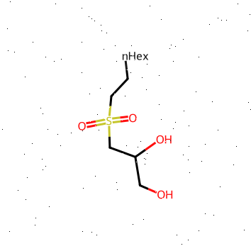 CCCCCCCCS(=O)(=O)CC(O)CO